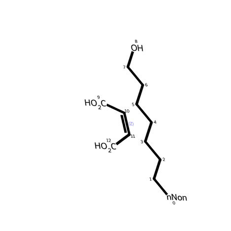 CCCCCCCCCCCCCCCCO.O=C(O)/C=C\C(=O)O